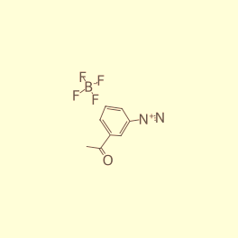 CC(=O)c1cccc([N+]#N)c1.F[B-](F)(F)F